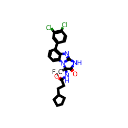 O=C(CCC1CCCC1)NC1(C(F)(F)F)C(=O)Nc2nc3c(-c4ccc(Cl)c(Cl)c4)cccc3n21